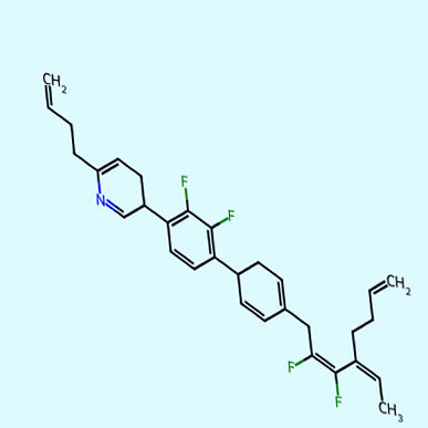 C=CCCC1=CCC(c2ccc(C3C=CC(C/C(F)=C(F)\C(=C/C)CCC=C)=CC3)c(F)c2F)C=N1